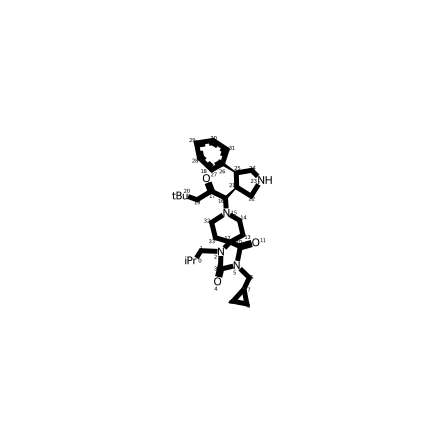 CC(C)CN1C(=O)N(CC2CC2)C(=O)C12CCN(C(C(=O)CC(C)(C)C)[C@@H]1CNC[C@@H]1c1ccccc1)CC2